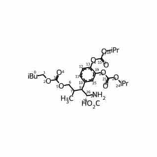 CCC(C)COC(=O)OCC(C)C(c1ccc(OC(=O)OC(C)C)c(OC(=O)OC(C)C)c1)[C@H](N)C(=O)O